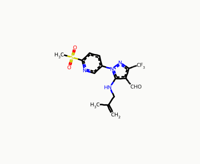 C=C(C)CNc1c(C=O)c(C(F)(F)F)nn1-c1ccc(S(C)(=O)=O)nc1